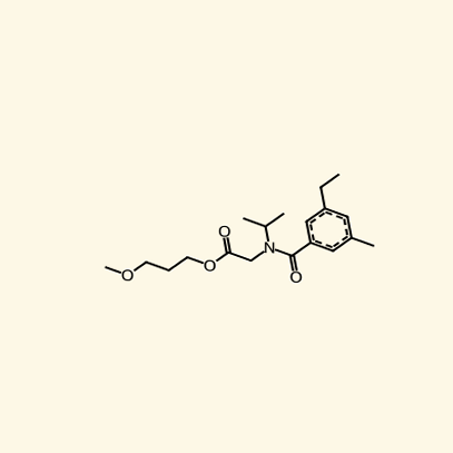 CCc1cc(C)cc(C(=O)N(CC(=O)OCCCOC)C(C)C)c1